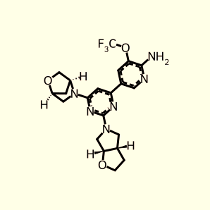 Nc1ncc(-c2cc(N3C[C@@H]4C[C@H]3CO4)nc(N3C[C@@H]4CCO[C@@H]4C3)n2)cc1OC(F)(F)F